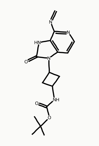 C=Nc1nccc2c1[nH]c(=O)n2C1CC(NC(=O)OC(C)(C)C)C1